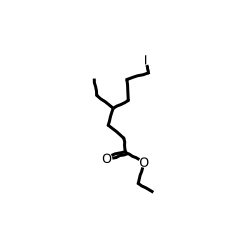 CCOC(=O)CCC(CC)CCCI